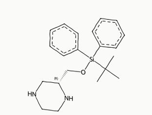 CC(C)(C)[Si](OC[C@H]1CNCCN1)(c1ccccc1)c1ccccc1